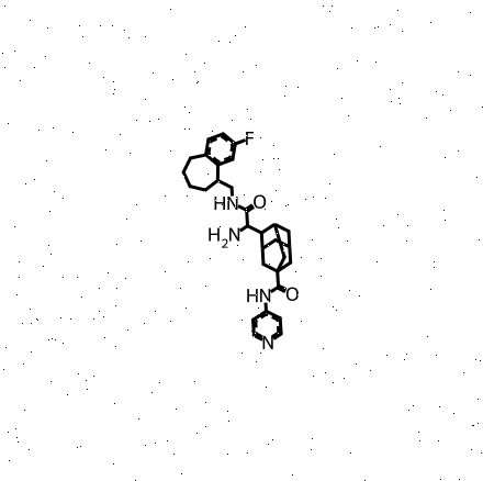 NC(C(=O)NCC1CCCCc2ccc(F)cc21)C1C2CC3CC1CC(C(=O)Nc1ccncc1)(C3)C2